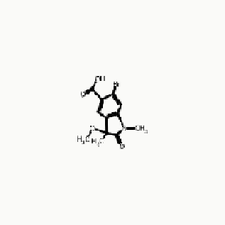 COC1(C)C(=O)N(C)c2cc(Br)c(C(=O)O)cc21